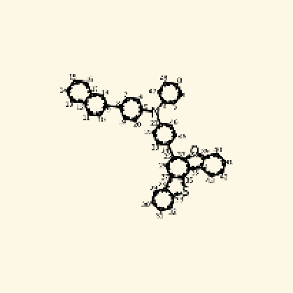 c1ccc(N(c2ccc(-c3ccc4ccccc4c3)cc2)c2ccc(-c3cc4c5ccccc5sc4c4c3oc3ccccc34)cc2)cc1